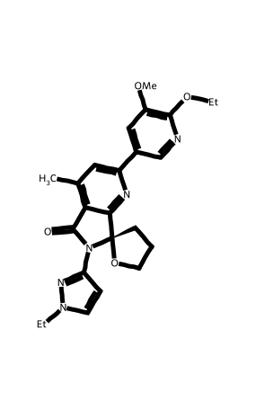 CCOc1ncc(-c2cc(C)c3c(n2)[C@@]2(CCCO2)N(c2ccn(CC)n2)C3=O)cc1OC